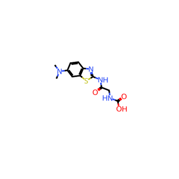 CN(C)c1ccc2nc(NC(=O)CNC(=O)O)sc2c1